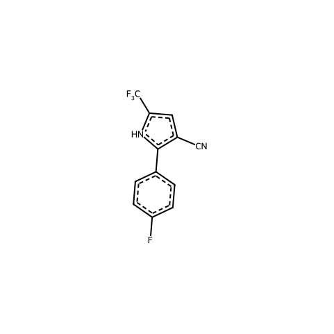 N#Cc1cc(C(F)(F)F)[nH]c1-c1ccc(F)cc1